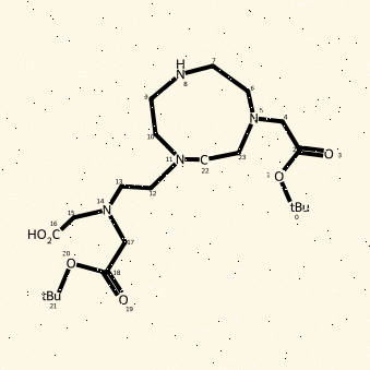 CC(C)(C)OC(=O)CN1CCNCCN(CCN(CC(=O)O)CC(=O)OC(C)(C)C)CC1